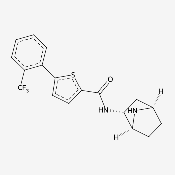 O=C(N[C@@H]1C[C@H]2CC[C@@H]1N2)c1ccc(-c2ccccc2C(F)(F)F)s1